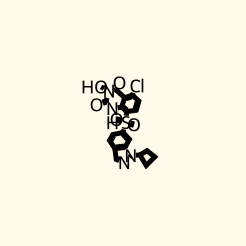 O=c1[nH]c2c(S(=O)(=O)c3ccc4cnn(C5CCC5)c4c3)ccc(Cl)c2c(=O)n1O